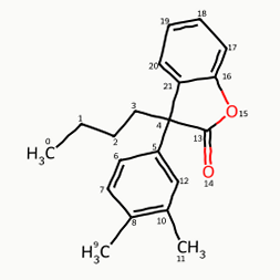 CCCCC1(c2ccc(C)c(C)c2)C(=O)Oc2ccccc21